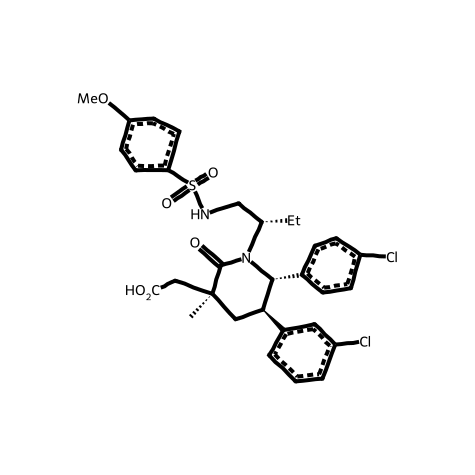 CC[C@@H](CNS(=O)(=O)c1ccc(OC)cc1)N1C(=O)[C@](C)(CC(=O)O)C[C@H](c2cccc(Cl)c2)[C@H]1c1ccc(Cl)cc1